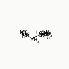 CC(CCCCCCCOC(=O)C(C)(C)C(C)C(C)C(C)C)CCCCOC(=O)c1c(F)c(F)c(N=[N+]=[N-])c(F)c1F